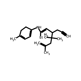 C#CCC(/C=C(\CC)NC1=CC=C(C)CC1)C(C)(C)CC(=C)C